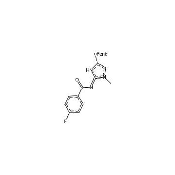 CCCCCc1cn(C)/c(=N/C(=O)c2ccc(F)cc2)[nH]1